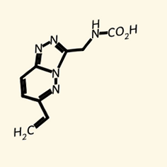 C=Cc1ccc2nnc(CNC(=O)O)n2n1